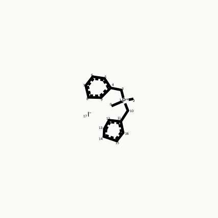 C[P+](C)(Cc1ccccc1)Cc1ccccc1.[I-]